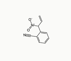 C=CC(c1ccccc1C#N)[N+](=O)[O-]